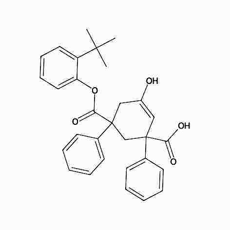 CC(C)(C)c1ccccc1OC(=O)C1(c2ccccc2)CC(O)=CC(C(=O)O)(c2ccccc2)C1